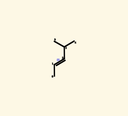 C/C=C/C(C)C